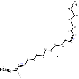 C#C[C@@H](O)/C=C/CCCCCCCCC/C=C\CCCCCC